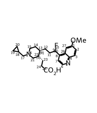 COc1ccc2nccc([C@H](F)CC[C@@H]3CCN(CC4CC4)C[C@H]3CCC(=O)O)c2c1